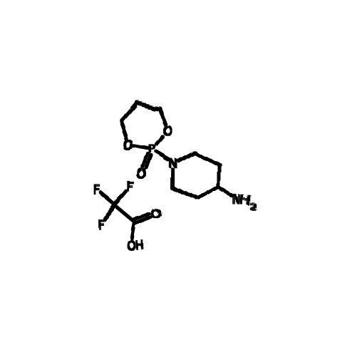 NC1CCN(P2(=O)OCCCO2)CC1.O=C(O)C(F)(F)F